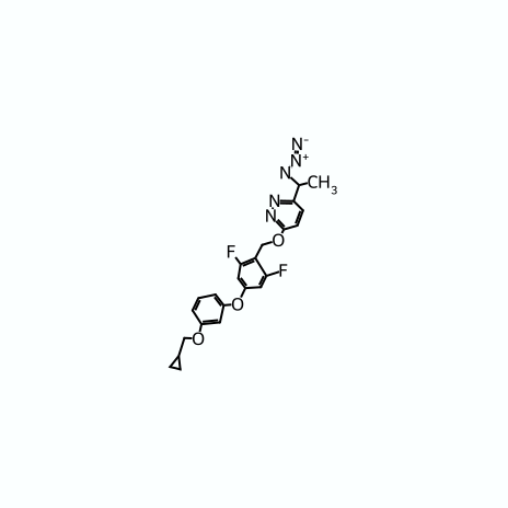 CC(N=[N+]=[N-])c1ccc(OCc2c(F)cc(Oc3cccc(OCC4CC4)c3)cc2F)nn1